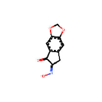 O=C1C(=NO)Cc2cc3c(cc21)OCO3